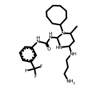 CC1CC(NCCCN)NC(NC(=O)Nc2cccc(C(F)(F)F)c2)N1C1CCCCCCC1